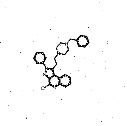 Clc1nc2ccccc2c2c(CCN3CCN(Cc4ccccc4)CC3)n(-c3ccccc3)nc12